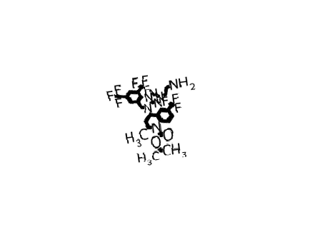 CC(C)OC(=O)N1c2ccc(C(F)(F)F)cc2[C@@H](N(Cc2cc(C(F)(F)F)cc(C(F)(F)F)c2)c2nnn(CCN)n2)C[C@H]1C